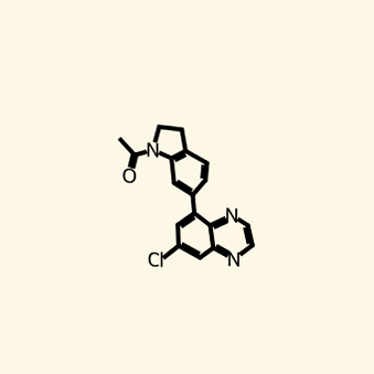 CC(=O)N1CCc2ccc(-c3cc(Cl)cc4nccnc34)cc21